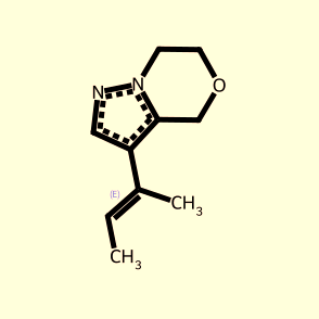 C/C=C(\C)c1cnn2c1COCC2